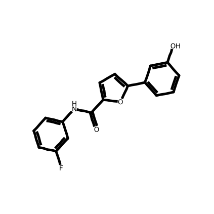 O=C(Nc1cccc(F)c1)c1ccc(-c2cccc(O)c2)o1